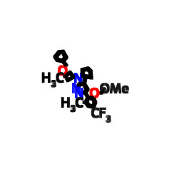 COCOc1cc(C(F)(F)F)cc(C)c1-c1cc2c3ccccc3n(C3CC(C)(OCc4ccccc4)C3)c2nn1